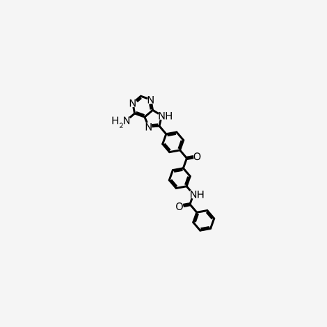 Nc1ncnc2[nH]c(-c3ccc(C(=O)c4cccc(NC(=O)c5ccccc5)c4)cc3)nc12